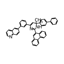 CC1(c2ccc(-c3ccccc3)cc2)C=C(c2cccc(-c3ccc4ncccc4c3)c2)N=C(c2cc3ccccc3c3ccccc23)N1